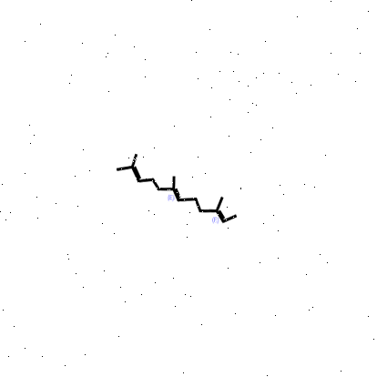 C/C=C(\C)CC/C=C(\C)CCC=C(C)C